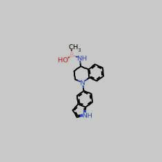 CB(O)NC1CCN(c2ccc3[nH]ccc3c2)c2ccccc21